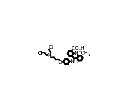 Cc1cccc2c(Nc3ccc(OCCCCN(CCCl)CCCl)cc3)c3cccc(C(=O)O)c3nc12